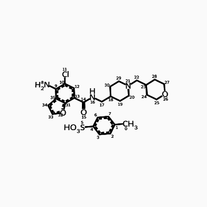 Cc1ccc(S(=O)(=O)O)cc1.Nc1c(Cl)cc(C(=O)NCC2CCN(CC3CCOCC3)CC2)c2occc12